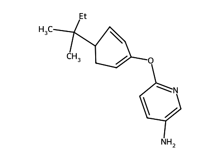 CCC(C)(C)C1C=CC(Oc2ccc(N)cn2)=CC1